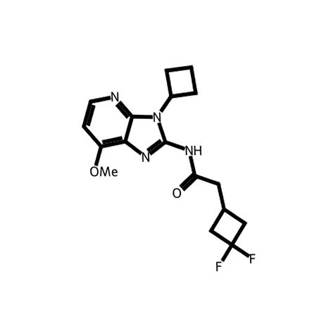 COc1ccnc2c1nc(NC(=O)CC1CC(F)(F)C1)n2C1CCC1